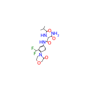 CC(C)C(=O)N[C@H](C(N)=O)C(=O)Nc1ccc(N2CCOCC2=O)c(C(F)F)c1